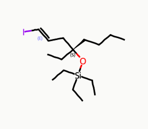 CCCC[C@@](CC)(C/C=C/I)O[Si](CC)(CC)CC